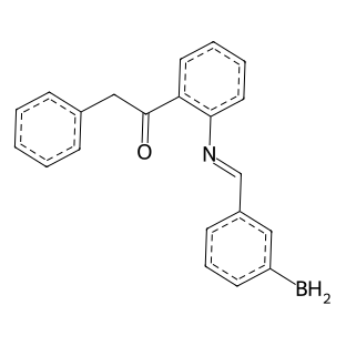 Bc1cccc(/C=N/c2ccccc2C(=O)Cc2ccccc2)c1